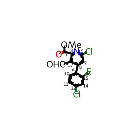 COC(=O)c1nc(Cl)cc(-c2ccc(Cl)cc2F)c1C=O